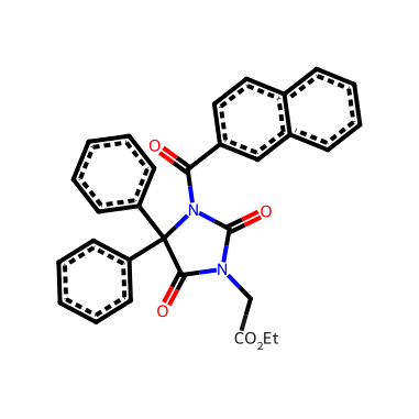 CCOC(=O)CN1C(=O)N(C(=O)c2ccc3ccccc3c2)C(c2ccccc2)(c2ccccc2)C1=O